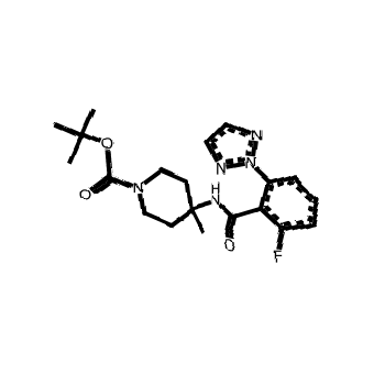 CC1(NC(=O)c2c(F)cccc2-n2nccn2)CCN(C(=O)OC(C)(C)C)CC1